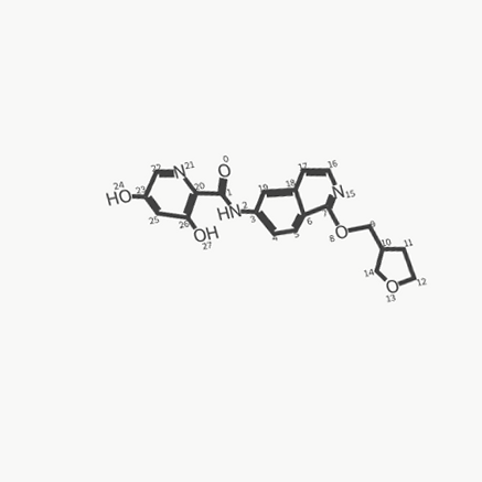 O=C(Nc1ccc2c(OCC3CCOC3)nccc2c1)c1ncc(O)cc1O